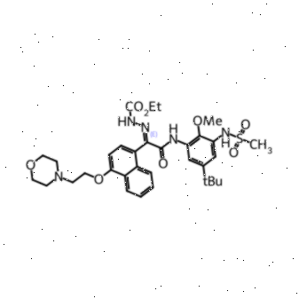 CCOC(=O)N/N=C(/C(=O)Nc1cc(C(C)(C)C)cc(NS(C)(=O)=O)c1OC)c1ccc(OCCN2CCOCC2)c2ccccc12